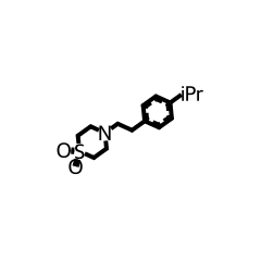 CC(C)c1ccc(CCN2CCS(=O)(=O)CC2)cc1